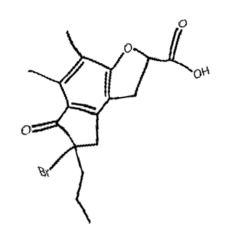 CCCC1(Br)Cc2c3c(c(C)c(C)c2C1=O)OC(C(=O)O)C3